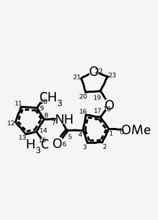 COc1ccc(C(=O)Nc2c(C)cccc2C)cc1OC1CCOC1